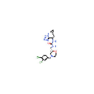 O=C(NC[C@H]1CN(Cc2ccc(Cl)c(Cl)c2)CCO1)NC(CC1CC1)c1nnn[nH]1